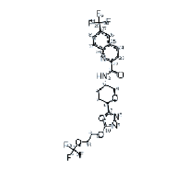 O=C(N[C@H]1CC[C@H](c2nnc(OCCOC(F)(F)F)o2)OC1)c1ccc2cc(C(F)(F)F)ccc2n1